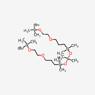 CC(C)(C)[Si](C)(C)OCCOCCC[Si](C)(C)O[Si](C)(C)O[Si](C)(C)CCCOCCO[Si](C)(C)C(C)(C)C